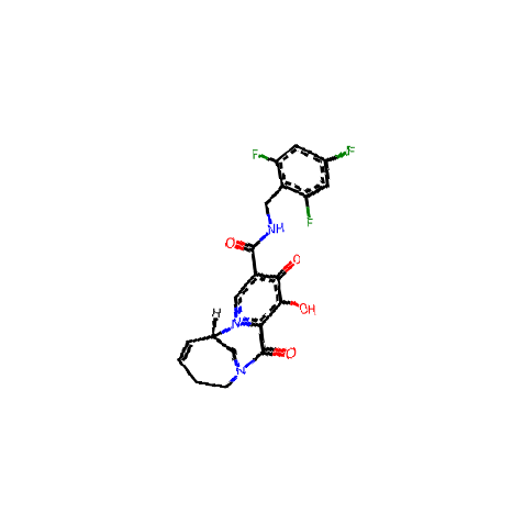 O=C(NCc1c(F)cc(F)cc1F)c1cn2c(c(O)c1=O)C(=O)N1CCC=C[C@H]2C1